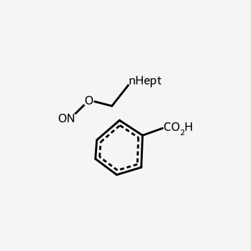 CCCCCCCCON=O.O=C(O)c1ccccc1